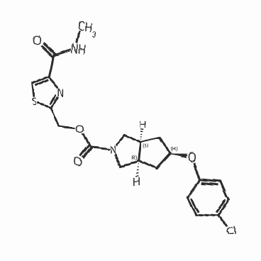 CNC(=O)c1csc(COC(=O)N2C[C@H]3C[C@@H](Oc4ccc(Cl)cc4)C[C@H]3C2)n1